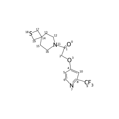 O=C(COc1ccnc(C(F)(F)F)c1)N1CCC2(CC1)CSC2